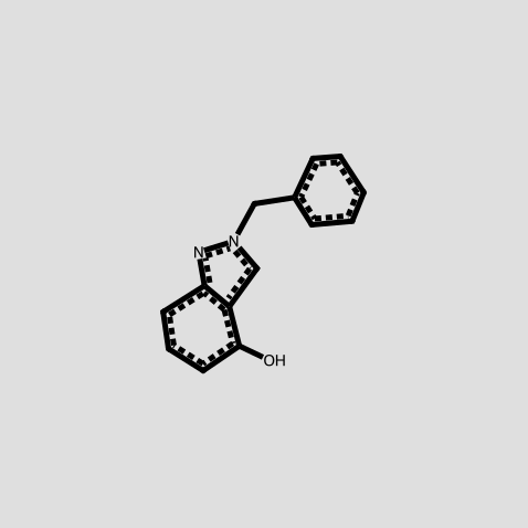 Oc1cccc2nn(Cc3ccccc3)cc12